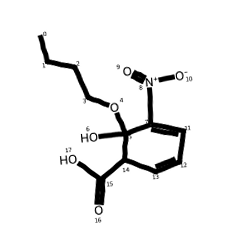 CCCCOC1(O)C([N+](=O)[O-])=CC=CC1C(=O)O